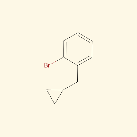 Brc1ccccc1CC1CC1